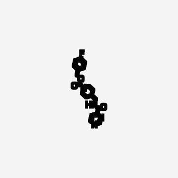 O=C(NCC1CCN(C(=O)OCc2ccc(F)cc2)CC1)c1ccncn1